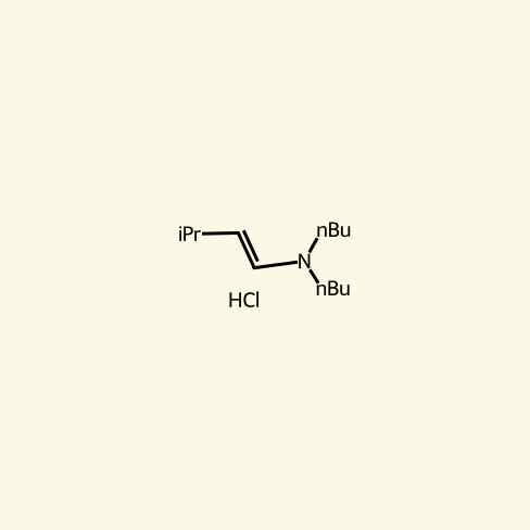 CCCCN(/C=C/C(C)C)CCCC.Cl